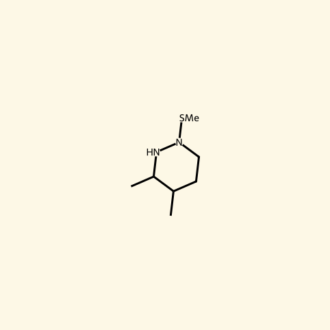 CSN1CCC(C)C(C)N1